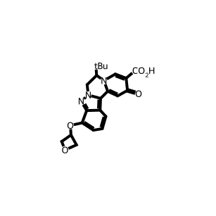 CC(C)(C)C1Cn2nc3c(OC4COC4)cccc3c2-c2cc(=O)c(C(=O)O)cn21